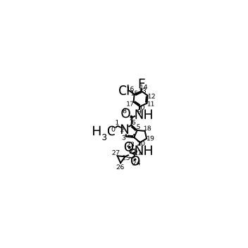 CCn1cc2c(c1C(=O)Nc1ccc(F)c(Cl)c1)CCC2NS(=O)(=O)C1CC1